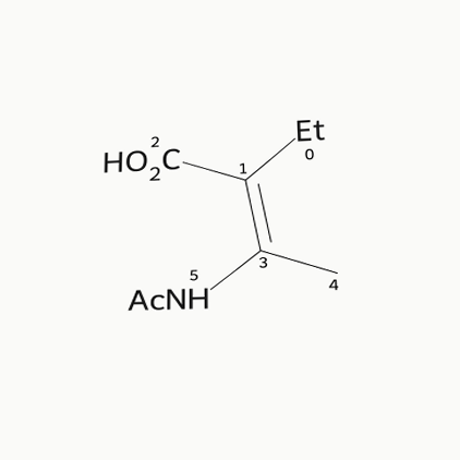 CCC(C(=O)O)=C(C)NC(C)=O